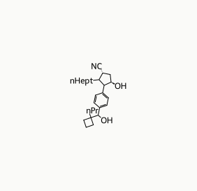 CCCCCCCC1C(c2ccc(C(O)C3(CCC)CCC3)cc2)[C@H](O)C[C@H]1C#N